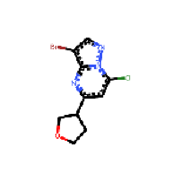 Clc1cc(C2CCOC2)nc2c(Br)cnn12